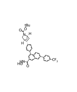 CC(C)(C)OC(=O)N1C[C@H]2C[C@@H]1C[C@@H]2c1ccc(-c2cc(C(=O)NO)cc3cc(-c4ccc(C(F)(F)F)cc4)ccc23)cc1